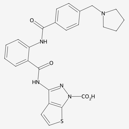 O=C(Nc1ccccc1C(=O)Nc1nn(C(=O)O)c2sccc12)c1ccc(CN2CCCC2)cc1